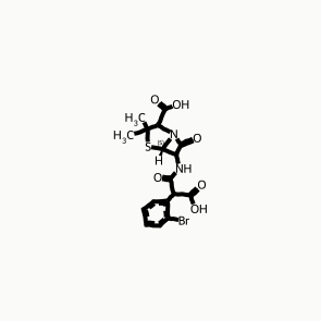 CC1(C)S[C@H]2C(NC(=O)C(C(=O)O)c3ccccc3Br)C(=O)N2C1C(=O)O